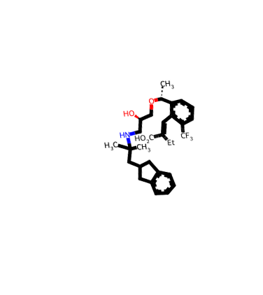 CCC(=Cc1c([C@@H](C)OC[C@H](O)CNC(C)(C)CC2Cc3ccccc3C2)cccc1C(F)(F)F)C(=O)O